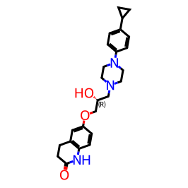 O=C1CCc2cc(OC[C@H](O)CN3CCN(c4ccc(C5CC5)cc4)CC3)ccc2N1